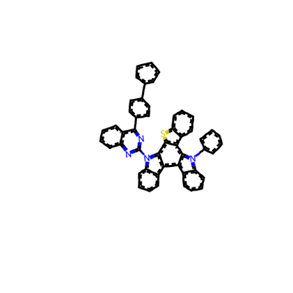 c1ccc(-c2ccc(-c3nc(-n4c5ccccc5c5c6c7ccccc7n(-c7ccccc7)c6c6c7ccccc7sc6c54)nc4ccccc34)cc2)cc1